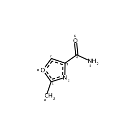 Cc1nc(C(N)=O)co1